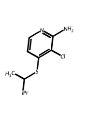 CC(C)C(C)Sc1ccnc(N)c1Cl